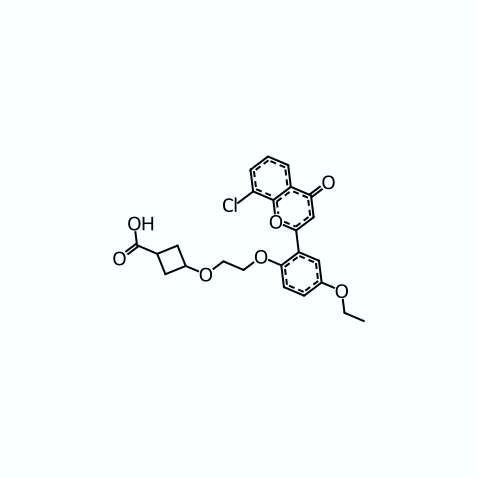 CCOc1ccc(OCCOC2CC(C(=O)O)C2)c(-c2cc(=O)c3cccc(Cl)c3o2)c1